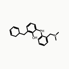 CN(C)Cc1ccccc1Pc1cccc(CC2C=CC=CC2)c1O